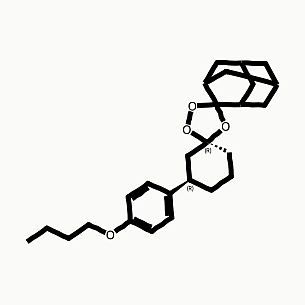 CCCCOc1ccc([C@@H]2CCC[C@]3(C2)OOC2(O3)C3CC4CC(C3)CC2C4)cc1